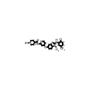 CC(C)N1CCC(C(=O)Nc2cc(Oc3ccc4c(c3)nc(Nc3cc(C(F)(F)F)ccc3Cl)n4C)ccn2)CC1